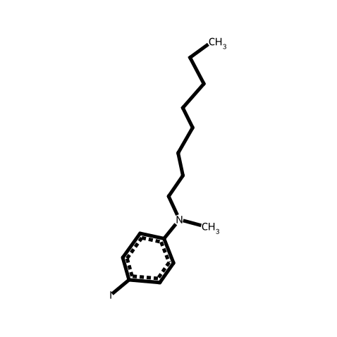 CCCCCCCCN(C)c1ccc(I)cc1